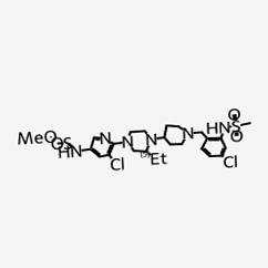 CC[C@H]1CN(c2ncc(NSOOC)cc2Cl)CCN1C1CCN(Cc2ccc(Cl)cc2NS(C)(=O)=O)CC1